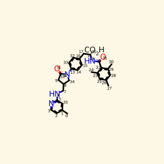 Cc1ccnc(NCC2CC(=O)N(c3ccc(C[C@@H](NC(=O)c4c(C)cc(C)cc4C)C(=O)O)cc3)C2)c1